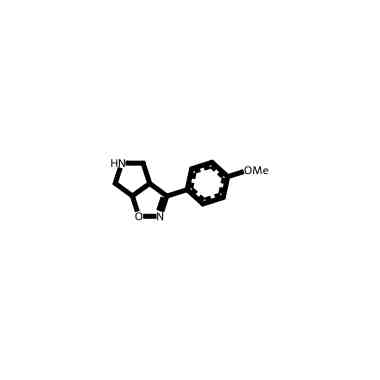 COc1ccc(C2=NOC3CNCC23)cc1